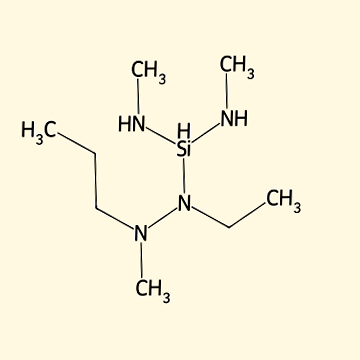 CCCN(C)N(CC)[SiH](NC)NC